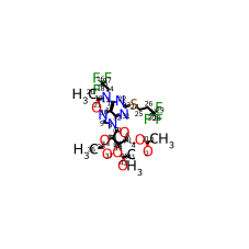 CC(=O)OC[C@H]1O[C@@H](n2cnc3c(N(CC(F)(F)F)C(C)=O)nc(SCCC(F)(F)F)nc32)[C@H](OC(C)=O)[C@@H]1OC(C)=O